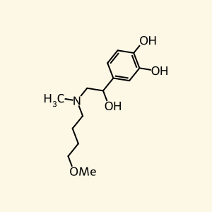 COCCCCN(C)CC(O)c1ccc(O)c(O)c1